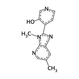 Cc1cnc2c(c1)nc(-c1ccncc1O)n2C